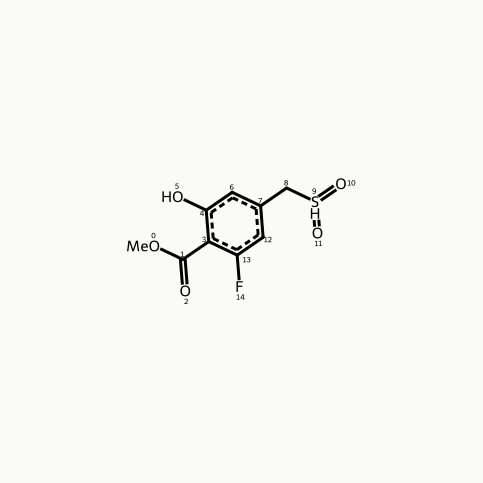 COC(=O)c1c(O)cc(C[SH](=O)=O)cc1F